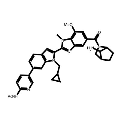 COc1cc(C(=O)N2CC3CCC2C3N)cc2nc(-c3cc4ccc(-c5ccc(NC(C)=O)nc5)cc4n3CC3CC3)n(C)c12